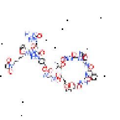 C/C=C(\C)[C@H]1OC(=O)[C@@H](C)NC(=O)[C@H](C(C)CC)NC(=O)CN(C)C(=O)[C@@H](Cc2ccccc2)N(C)C(=O)[C@H](C)NC(=O)[C@@H](CC(C)C)OC(=O)/C(C)=C/C[C@H](OC(=O)N(C)CCN(C)C(=O)OCc2ccc(NC(=O)[C@@H](CCCNC(N)=O)NC(=O)[C@H](NC(=O)CCCCCN3C(=O)C=CC3=O)C(C)C)cc2)[C@@H]1C